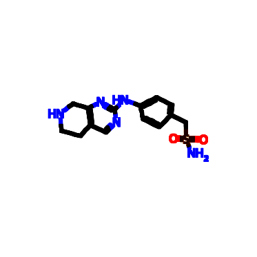 NS(=O)(=O)Cc1ccc(Nc2ncc3c(n2)CNCC3)cc1